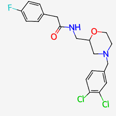 O=C(Cc1ccc(F)cc1)NCC1CN(Cc2ccc(Cl)c(Cl)c2)CCO1